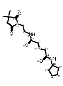 CC1(C)CC(=O)N(CCNC(=O)CSCC(=O)NC2CCCC2)C1=O